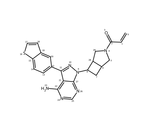 C=CC(=O)N1CC2CC(n3nc(-c4ccc5sccc5c4)c4c(N)ncnc43)C2C1